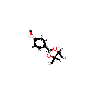 COc1[c]cc(B2OC(C)(C)C(C)(C)O2)cc1